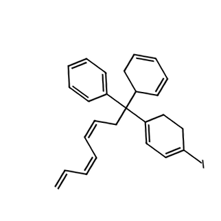 C=C/C=C\C=C/CC(C1=CC=C(I)CC1)(c1ccccc1)C1C=CC=CC1